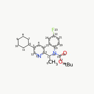 CC(c1ccc(C2CCCCC2)cn1)N(C(=O)OC(C)(C)C)c1ccc(F)cc1